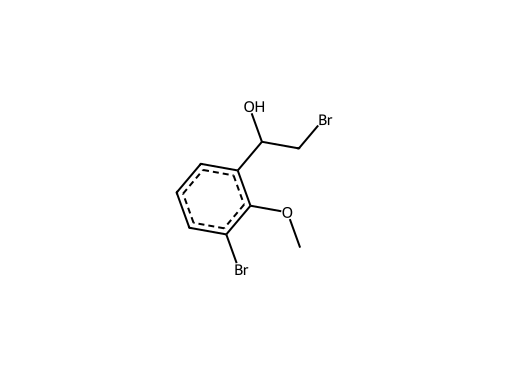 COc1c(Br)cccc1C(O)CBr